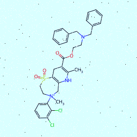 CC1=C(C(=O)OCCN(Cc2ccccc2)Cc2ccccc2)CC2=C(C[N+](C)(c3cccc(Cl)c3Cl)CCS2(=O)=O)N1